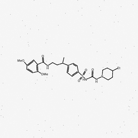 CCC1CCN(NC(=O)NS(=O)(=O)c2ccc(C(C)CCNC(=O)c3cc(OC)ccc3OC)cc2)CC1